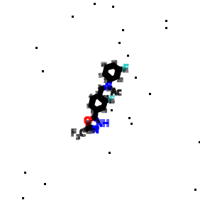 CC(=O)N(Cc1ccc(C2NN=C(C(F)(F)F)O2)cc1F)c1cccc(F)c1